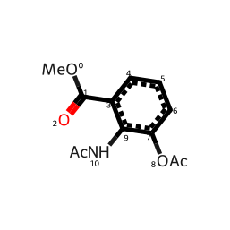 COC(=O)c1cccc(OC(C)=O)c1NC(C)=O